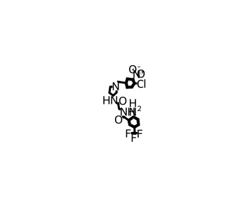 Nc1ccc(C(F)(F)F)cc1C(=O)NCC(=O)N[C@@H]1CCN(Cc2ccc(Cl)c([N+](=O)[O-])c2)C1